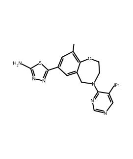 Cc1cc(-c2nnc(N)s2)cc2c1OCCN(c1ncncc1C(C)C)C2